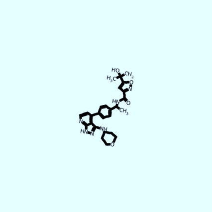 CC(NC(=O)c1cc(C(C)(C)O)on1)c1ccc(-c2ccnc3[nH]nc(NC4CCOCC4)c23)cc1